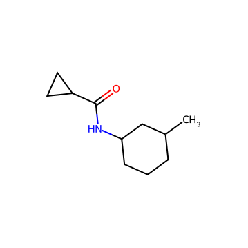 CC1CCCC(NC(=O)C2CC2)C1